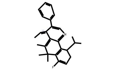 C/C=c1/c(-c2ccccc2)cnc2c1=C(C)C(C)(C)C1=C2C(C(C)C)CC=C1F